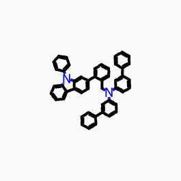 c1ccc(-c2cccc(N(Cc3ccccc3-c3ccc4c5ccccc5n(-c5ccccc5)c4c3)c3cccc(-c4ccccc4)c3)c2)cc1